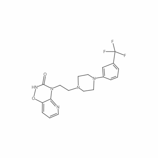 O=C1NOc2cccnc2N1CCN1CCN(c2cccc(C(F)(F)F)c2)CC1